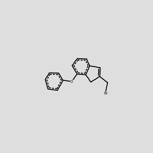 BrCC1=Cc2cccc(Oc3ccccc3)c2C1